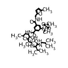 Cc1ccc(CNC(=O)c2cc(C(=O)NC(CC(C)C)C(O)CC(C)C(=O)NC(C(=O)NCC(C)C)C(C)C)cc(N(C)S(C)(=O)=O)c2)o1